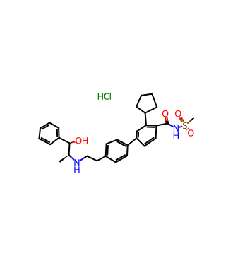 C[C@H](NCCc1ccc(-c2ccc(C(=O)NS(C)(=O)=O)c(C3CCCC3)c2)cc1)[C@H](O)c1ccccc1.Cl